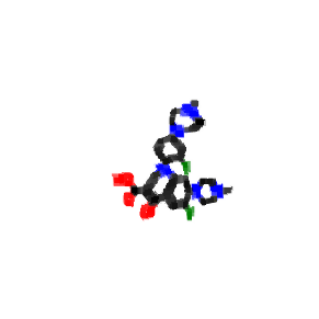 CN1CCN(c2ccc(-n3cc(C(=O)O)c(=O)c4cc(F)c(N5CCN(C)CC5)cc43)c(F)c2)CC1